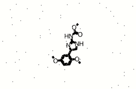 COC(=O)NC1=NC(c2cc(OC)ccc2OC)CN1